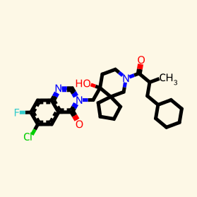 CC(CC1CCCCC1)C(=O)N1CCC(O)(Cn2cnc3cc(F)c(Cl)cc3c2=O)C2(CCCC2)C1